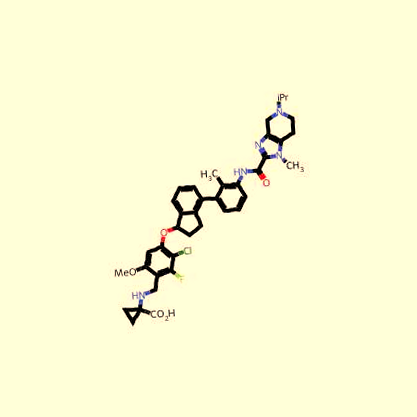 COc1cc(OC2CCc3c(-c4cccc(NC(=O)c5nc6c(n5C)CCN(C(C)C)C6)c4C)cccc32)c(Cl)c(F)c1CNC1(C(=O)O)CC1